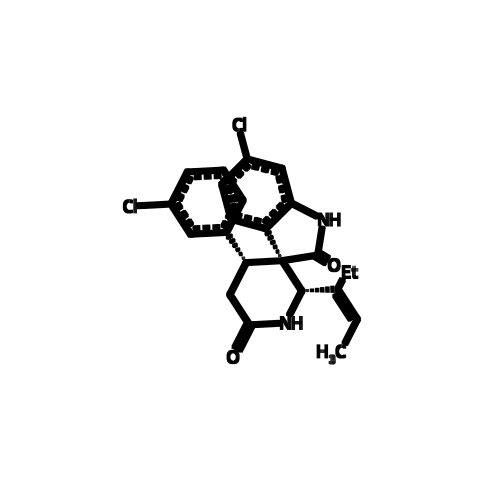 C/C=C(/CC)[C@@H]1NC(=O)C[C@H](c2cccc(Cl)c2)[C@@]12C(=O)Nc1cc(Cl)ccc12